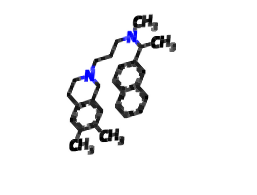 Cc1cc2c(cc1C)CN(CCCN(C)C(C)c1ccc3ccccc3c1)CC2